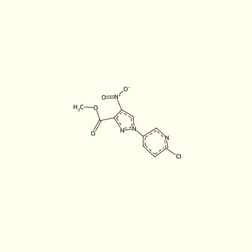 COC(=O)c1nn(-c2ccc(Cl)nc2)cc1[N+](=O)[O-]